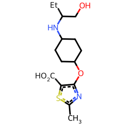 CCC(CO)NC1CCC(Oc2nc(C)sc2C(=O)O)CC1